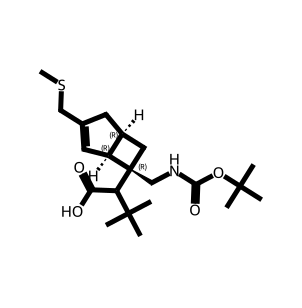 CSCC1=C[C@H]2[C@@H](C1)C[C@]2(CNC(=O)OC(C)(C)C)C(C(=O)O)C(C)(C)C